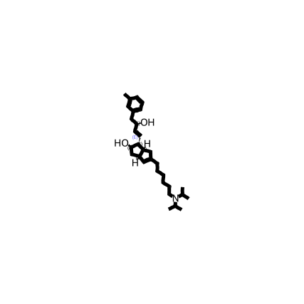 Cc1cccc(C[C@H](O)/C=C/[C@@H]2[C@H]3CC(CCCCCCN(C(C)C)C(C)C)=C[C@H]3C[C@H]2O)c1